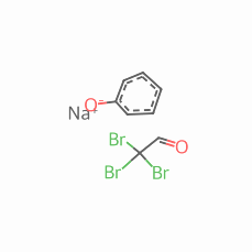 O=CC(Br)(Br)Br.[Na+].[O-]c1ccccc1